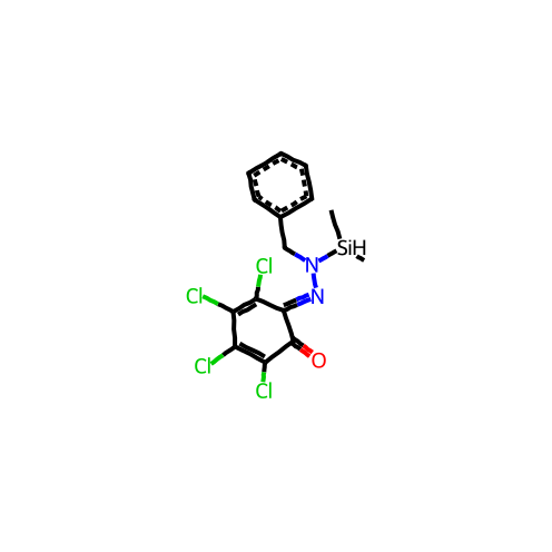 C[SiH](C)N(Cc1ccccc1)N=C1C(=O)C(Cl)=C(Cl)C(Cl)=C1Cl